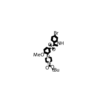 COc1ccc(S(=O)(=O)c2c[nH]c3cc(Br)ccc23)cc1N1CCN(C(=O)OC(C)(C)C)CC1